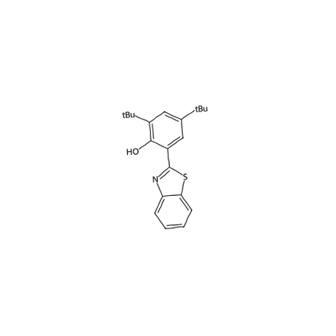 CC(C)(C)c1cc(-c2nc3ccccc3s2)c(O)c(C(C)(C)C)c1